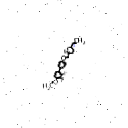 C/C=C/C1CCC(COc2ccc(-c3ccc(OCC)c(F)c3F)cc2)OC1